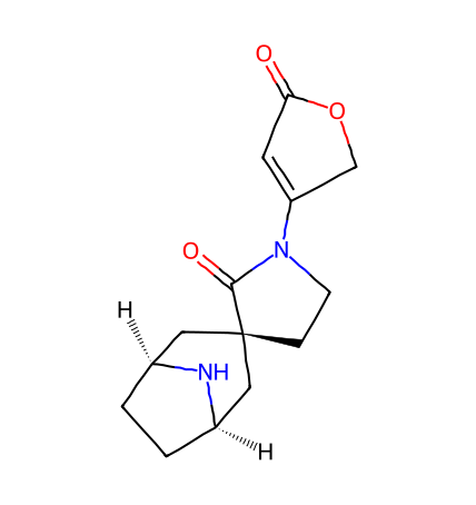 O=C1C=C(N2CC[C@]3(C[C@H]4CC[C@@H](C3)N4)C2=O)CO1